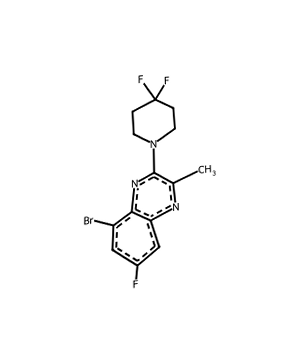 Cc1nc2cc(F)cc(Br)c2nc1N1CCC(F)(F)CC1